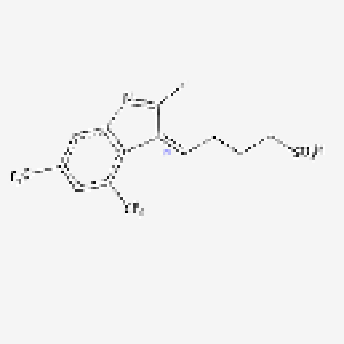 CC1=Nc2cc(C(F)(F)F)cc(C(F)(F)F)c2/C1=C/CCCS(=O)(=O)O